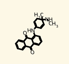 CNC1(C)C=CC(Nc2cccc3c2C(=O)c2ccccc2C3=O)=CC1